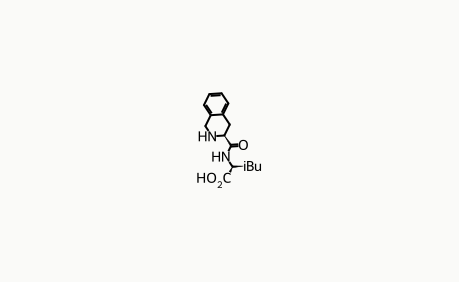 CC[C@H](C)[C@H](NC(=O)[C@@H]1Cc2ccccc2CN1)C(=O)O